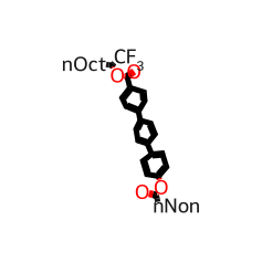 CCCCCCCCCC(=O)Oc1ccc(-c2ccc(-c3ccc(C(=O)OC(CCCCCCCC)C(F)(F)F)cc3)cc2)cc1